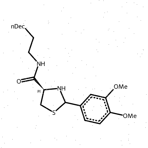 CCCCCCCCCCCCNC(=O)[C@@H]1CSC(c2ccc(OC)c(OC)c2)N1